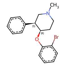 CN1CC[C@@H](Oc2ccccc2Br)[C@@H](c2ccccc2)C1